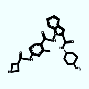 [CH2]c1cc(NC(=O)C2CNC2)ccc1C(=O)Nn1c(C(=O)N[C@H]2CC[C@H](N)CC2)cc2ccccc21